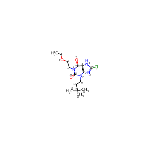 CCOCCn1c(=O)c2[nH]c(Cl)nc2n(CCC(C)(C)C)c1=O